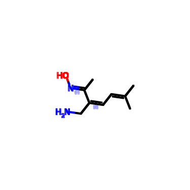 CC(C)=C/C=C(CN)\C(C)=N\O